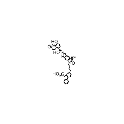 F.F.O=C(O)Nc1cc(CCCCn2c(=O)sc3cc(CNC[C@@H](O)c4ccc(O)c5[nH]c(=O)ccc45)ccc32)ccc1-c1ccccc1